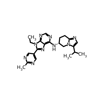 CCn1c(-c2cnc(C)nc2)nc2c(N[C@@H]3CCc4ncc(C(C)C)n4C3)ncnc21